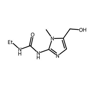 CCNC(=O)Nc1ncc(CO)n1C